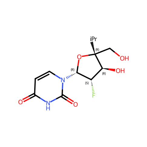 CC(C)[C@]1(CO)O[C@@H](n2ccc(=O)[nH]c2=O)[C@@H](F)[C@@H]1O